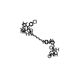 Cc1sc2c(c1C)C(c1ccc(Cl)cc1)=N[C@@H](CC(=O)NCCCCCCCCN1CCN(c3cc(CC(=O)NC4CCC(=O)NC4=O)ccn3)CC1)c1nnc(C)n1-2